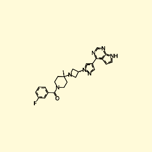 CC1(N2C[C](n3cc(-c4ncnc5[nH]ccc45)cn3)C2)CCN(C(=O)c2cccc(F)c2)CC1